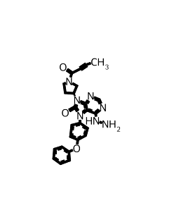 CC#CC(=O)N1CC[C@H](n2c(=O)n(-c3ccc(Oc4ccccc4)cc3)c3c(NN)ncnc32)C1